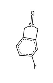 O=[Se]1Cc2ccc(F)cc2C1